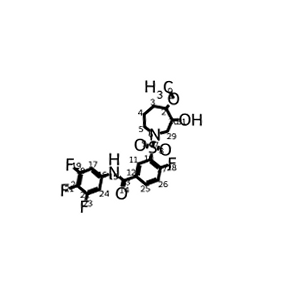 COC1CCCN(S(=O)(=O)c2cc(C(=O)Nc3cc(F)c(F)c(F)c3)ccc2F)CC1O